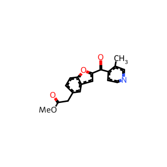 COC(=O)Cc1ccc2oc(C(=O)c3ccncc3C)cc2c1